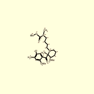 COc1cc(N)c(Cl)cc1C(=O)[C@@]1(N)[C@@H](OC)CCCN1CCCCN(C)C(=O)OC(C)(C)C